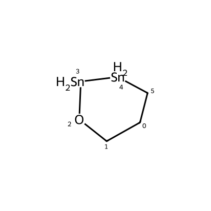 C1C[O][SnH2][SnH2][CH2]1